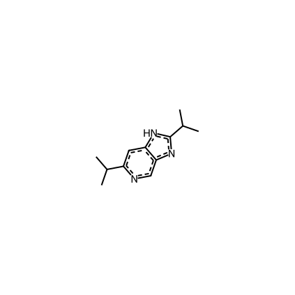 CC(C)c1cc2[nH]c(C(C)C)nc2cn1